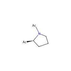 CC(=O)[C@@H]1CCCN1C(C)=O